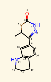 CC1SC(=O)NN=C1c1ccc2c(c1)NCCC2